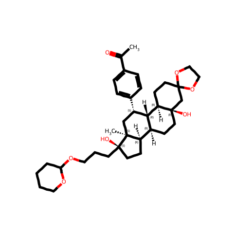 CC(=O)c1ccc([C@H]2C[C@@]3(C)[C@H](CC[C@]3(O)CCCOC3CCCCO3)[C@@H]3CC[C@@]4(O)CC5(CC[C@@H]4[C@H]32)OCCO5)cc1